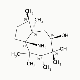 C[C@@H]1C(C)(C)[C@]2(N)CC[C@@H](C)[C@@]2(C)C[C@@H](O)[C@]1(C)O